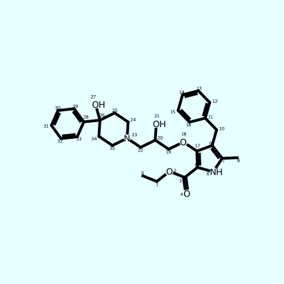 CCOC(=O)c1[nH]c(C)c(Cc2ccccc2)c1OCC(O)CN1CCC(O)(c2ccccc2)CC1